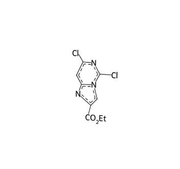 CCOC(=O)c1cn2c(Cl)nc(Cl)cc2n1